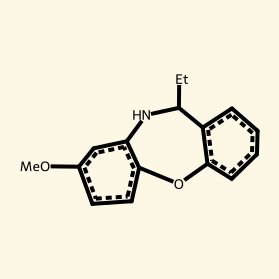 CCC1Nc2cc(OC)ccc2Oc2ccccc21